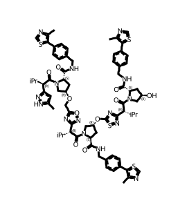 Cc1cc([C@H](C(=O)N2C[C@H](OCc3nc([C@H](C(=O)N4C[C@H](Oc5nc([C@H](C(=O)N6C[C@H](O)C[C@H]6C(=O)NCc6ccc(-c7scnc7C)cc6)C(C)C)ns5)C[C@H]4C(=O)NCc4ccc(-c5scnc5C)cc4)C(C)C)no3)C[C@H]2C(=O)NCc2ccc(-c3scnc3C)cc2)C(C)C)n[nH]1